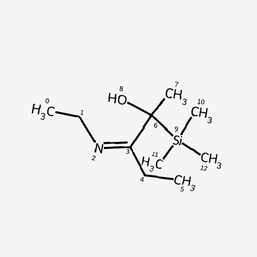 CCN=C(CC)C(C)(O)[Si](C)(C)C